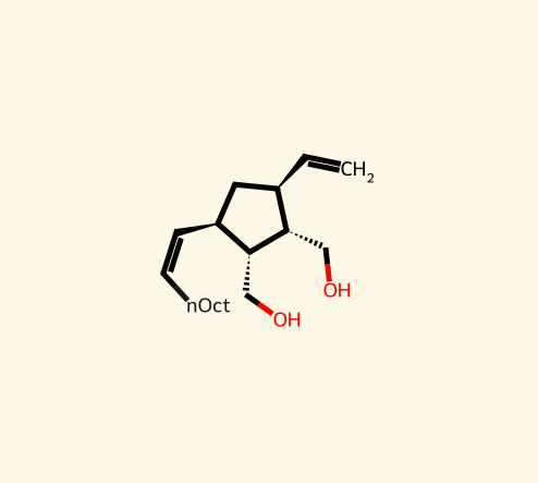 C=C[C@@H]1C[C@H](/C=C\CCCCCCCC)[C@@H](CO)[C@H]1CO